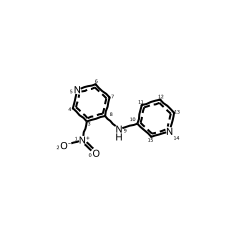 O=[N+]([O-])c1cnccc1Nc1cccnc1